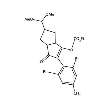 CCOC(=O)OC1=C(c2c(CC)cc(C)cc2CC)C(=O)C2CC(C(OC)OC)CC12